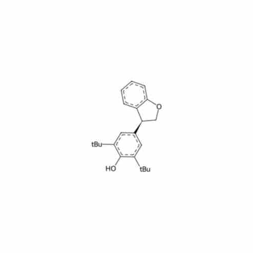 CC(C)(C)c1cc([C@@H]2COc3ccccc32)cc(C(C)(C)C)c1O